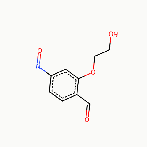 O=Cc1ccc(N=O)cc1OCCO